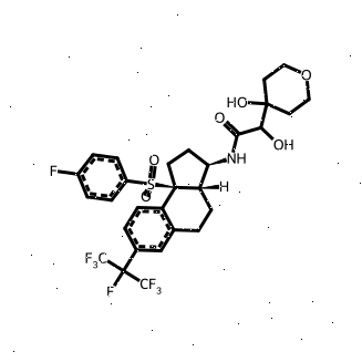 O=C(N[C@@H]1CC[C@@]2(S(=O)(=O)c3ccc(F)cc3)c3ccc(C(F)(C(F)(F)F)C(F)(F)F)cc3CC[C@@H]12)C(O)C1(O)CCOCC1